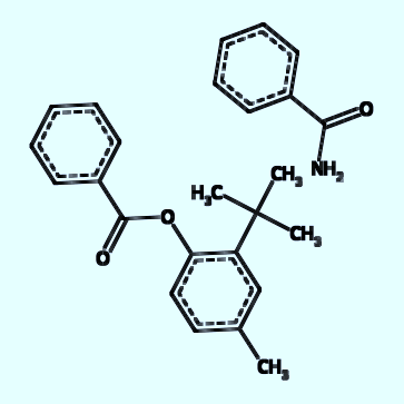 Cc1ccc(OC(=O)c2ccccc2)c(C(C)(C)C)c1.NC(=O)c1ccccc1